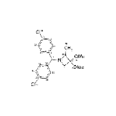 COC1(OC)CN(C(c2ccc(Cl)cc2)c2ccc(Cl)cc2)C1C